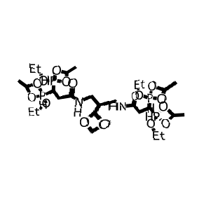 CCO[PH]1(C(CC(=O)NCC(CNC(=O)CC([PH]2(OCC)OC(C)O2)[PH]2(OCC)OC(C)O2)C2OCO2)[PH]2(OCC)OC(C)O2)OC(C)O1